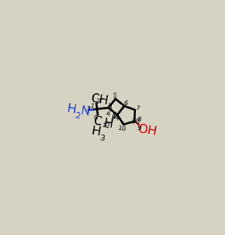 CC(C)(N)C1CC2C[C@@H](O)C[C@H]21